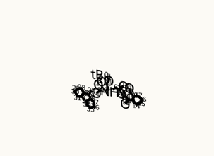 CC(C)(C)OC(=O)[C@H](CCC(=O)ON1C(=O)c2ccccc2C1=O)NC(=O)OCC1c2ccccc2-c2ccccc21